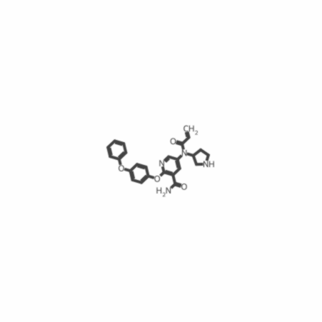 C=CC(=O)N(c1cnc(Oc2ccc(Oc3ccccc3)cc2)c(C(N)=O)c1)C1CCNC1